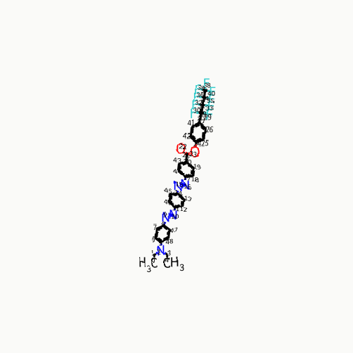 CCN(CC)c1ccc(N=Nc2ccc(N=Nc3ccc(C(=O)Oc4ccc(C(F)(F)C(F)(F)C(F)(F)C(F)(F)F)cc4)cc3)cc2)cc1